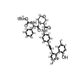 Cc1ccc(O)c(-c2nn(C)cc2C#Cc2ccc(NC(=O)C3COCCN3C(=O)[C@H](NC(=O)OC(C)(C)C)c3ccccc3)cc2)c1